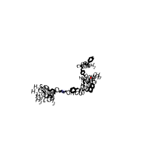 CN[C@@H](C)C(=O)N[C@H](C(=O)N1C[C@@H](OC/C=C/COc2ccc(C[C@H](NC(=O)[C@H](Cc3ccc4ccccc4c3)NC(=O)[C@@H]3C[C@H](NC(=O)c4ccc(C[C@H](NC(=O)[C@@H](N)c5ccccc5)C(=O)O)cc4)CN3C(=O)[C@@H](NC(=O)[C@H](C)NC)C(C)(C)C)C(=O)O)cc2)CC1C=O)C(C)(C)C